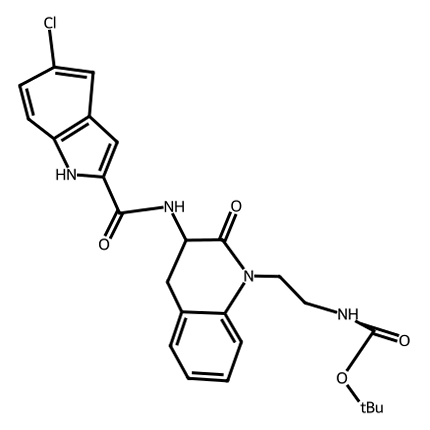 CC(C)(C)OC(=O)NCCN1C(=O)C(NC(=O)c2cc3cc(Cl)ccc3[nH]2)Cc2ccccc21